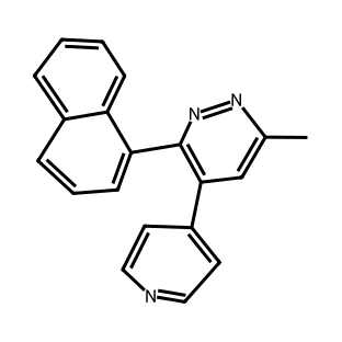 Cc1cc(-c2ccncc2)c(-c2cccc3ccccc23)nn1